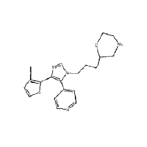 Cc1ccsc1-c1ncn(CCCC2CNCCO2)c1-c1ccncc1